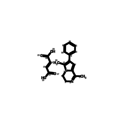 CC1=NCCn2c1cc(-c1ccccc1)c2C.O=C(O)/C=C/C(=O)O